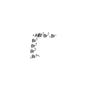 [Al+3].[Bi+3].[Br-].[Br-].[Br-].[Br-].[Br-].[Br-]